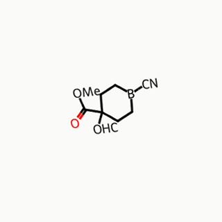 COC(=O)C1(C=O)CCB(C#N)CC1